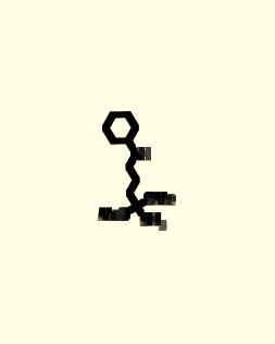 COC([SiH3])(CCCNC1CCCCC1)OC